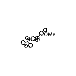 COc1cc(C2=NOC3(CCN(C(=O)C4c5ccccc5Oc5ccccc54)CC3)C2)ccc1Cl